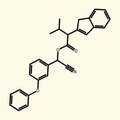 CC(C)C(C(=O)OC(C#N)c1cccc(Oc2ccccc2)c1)C1=Cc2ccccc2C1